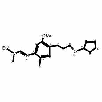 CCN(C)/C=N/c1cc(OC)c(CCCOC2CCCC2)cc1C